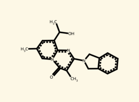 Cc1cc(C(C)O)c2nc(N3Cc4ccccc4C3)c(C)c(=O)n2c1